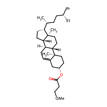 CC[C@H](CC[C@@H](C)[C@H]1CC[C@H]2[C@@H]3CC=C4C[C@@H](OC(=O)CCOC)CC[C@]4(C)[C@H]3CC[C@]12C)C(C)C